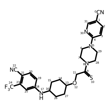 N#Cc1ccc(N2CCN(C(=S)COC3CCC(Nc4ccc(C#N)c(C(F)(F)F)c4)CC3)CC2)nc1